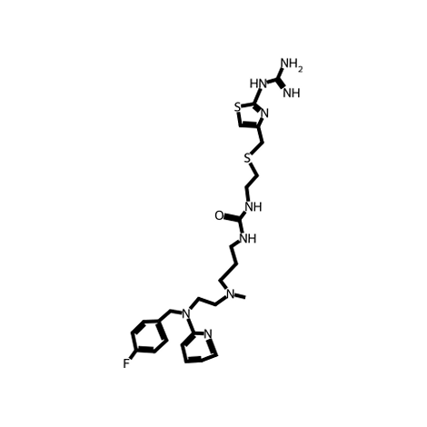 CN(CCCNC(=O)NCCSCc1csc(NC(=N)N)n1)CCN(Cc1ccc(F)cc1)c1ccccn1